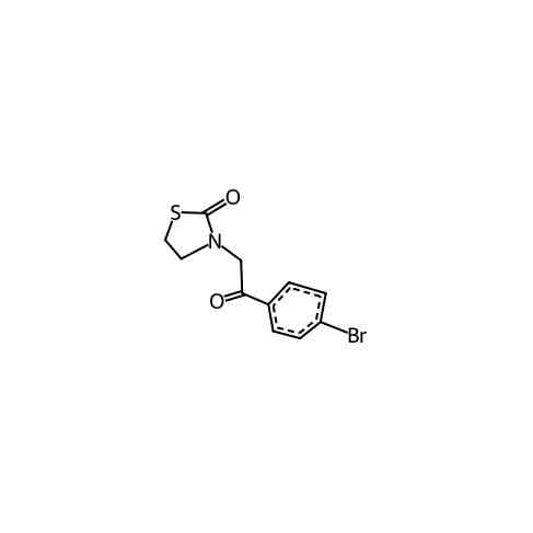 O=C(CN1CCSC1=O)c1ccc(Br)cc1